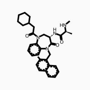 CN[C@@H](C)C(=O)N[C@H]1CN(C(=O)CC2CCCCC2)c2ccccc2N(Cc2c(C)ccc3ccccc23)C1=O